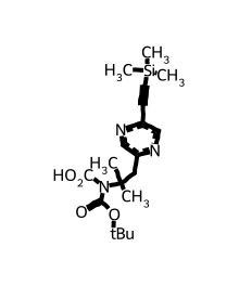 CC(C)(C)OC(=O)N(C(=O)O)C(C)(C)Cc1cnc(C#C[Si](C)(C)C)cn1